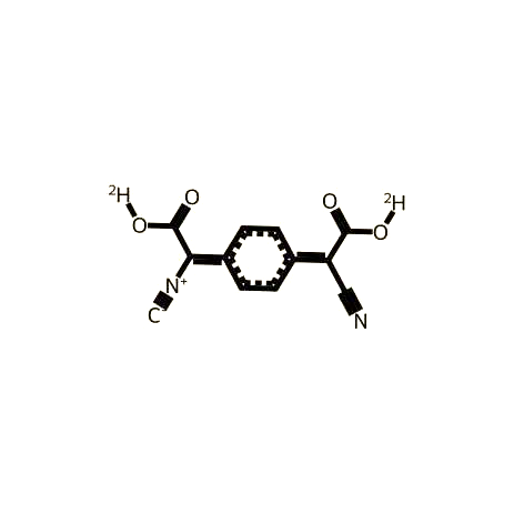 [2H]OC(=O)C(C#N)=c1ccc(=C([N+]#[C-])C(=O)O[2H])cc1